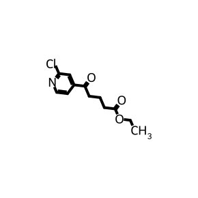 CCOC(=O)CCCC(=O)c1ccnc(Cl)c1